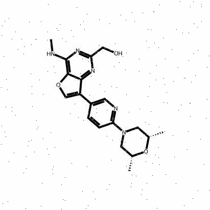 CNc1nc(CO)nc2c(-c3ccc(N4C[C@@H](C)O[C@@H](C)C4)nc3)coc12